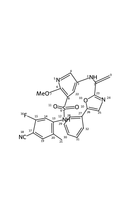 C=C(Nc1cnc(OC)c(S(=O)(=O)Nc2cc(F)c(C#N)cc2C)c1)c1ncc(-c2ccccc2)o1